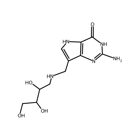 Nc1nc2c(CNCC(O)C(O)CO)c[nH]c2c(=O)[nH]1